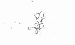 Cc1cnn(CC23CNCCC2(c2ccc(Cl)c(Cl)c2)C3)c1C(F)(F)F